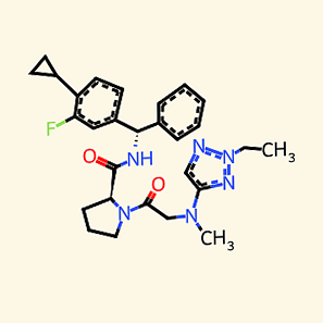 CCn1ncc(N(C)CC(=O)N2CCC[C@H]2C(=O)N[C@@H](c2ccccc2)c2ccc(C3CC3)c(F)c2)n1